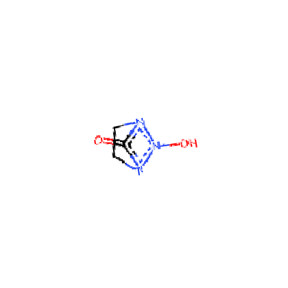 O=c1n2n(O)n1CC2